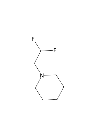 FC(F)CN1CC[CH]CC1